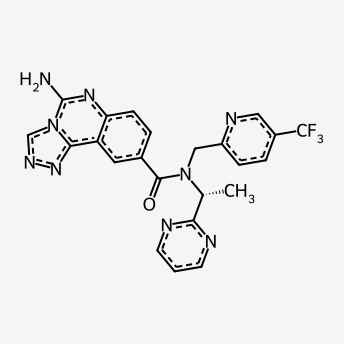 C[C@H](c1ncccn1)N(Cc1ccc(C(F)(F)F)cn1)C(=O)c1ccc2nc(N)n3cnnc3c2c1